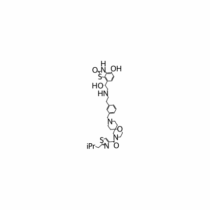 CC(C)Cc1nc(C(=O)N2CCOC3(CCN(Cc4cccc(CCNC[C@H](O)c5ccc(O)c6[nH]c(=O)sc56)c4)CC3)C2)cs1